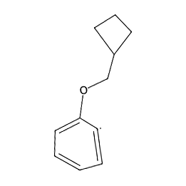 [c]1ccccc1OCC1CCC1